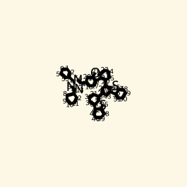 c1ccc(-c2nc(-c3ccccc3)nc(-c3ccc4c(c3)oc3cccc(-c5cc(-c6cccc7c6sc6ccccc67)cc6c5sc5ccccc56)c34)n2)cc1